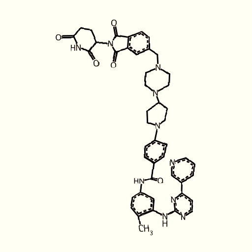 Cc1ccc(NC(=O)c2ccc(N3CCC(N4CCN(Cc5ccc6c(c5)C(=O)N(C5CCC(=O)NC5=O)C6=O)CC4)CC3)cc2)cc1Nc1nccc(-c2cccnc2)n1